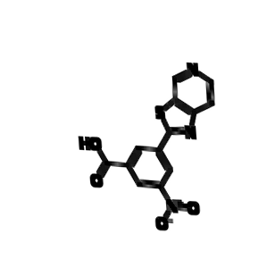 O=C(O)c1cc(-c2nc3ccncc3s2)cc([N+](=O)[O-])c1